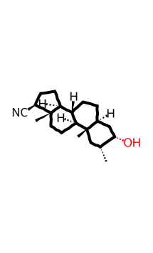 C[C@@H]1C[C@@]2(C)[C@@H](CC[C@@H]3[C@@H]2CC[C@]2(C)[C@@H](C#N)CC[C@@H]32)C[C@@H]1O